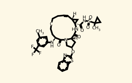 Cc1cc(N[C@H]2CCCCC/C=C\[C@@H]3C[C@@]3(C(=O)NS(=O)(=O)C3(C)CC3)NC(=O)[C@@H]3C[C@@H](Oc4nc5ccccc5s4)CN3C2=O)cc(C(F)(F)F)c1